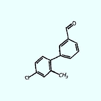 Cc1cc(Cl)ccc1-c1cccc(C=O)c1